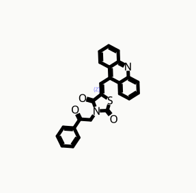 O=C(CN1C(=O)S/C(=C\c2c3ccccc3nc3ccccc23)C1=O)c1ccccc1